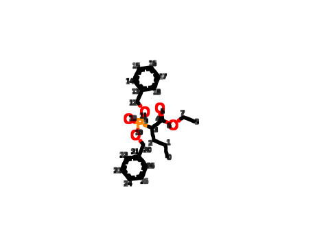 CCCC(C(=O)OCC)P(=O)(OCc1ccccc1)OCc1ccccc1